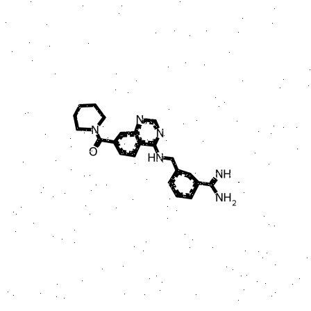 N=C(N)c1cccc(CNc2ncnc3cc(C(=O)N4CCCCC4)ccc23)c1